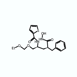 CCOCOC[C@H](C[C@H](Cc1ccccc1)C(=O)NO)NC(=O)c1cccs1